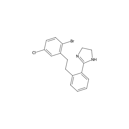 Clc1ccc(Br)c(CCc2ccccc2C2=NCCN2)c1